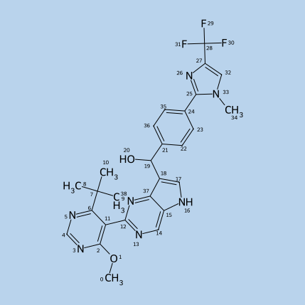 COc1ncnc(C(C)(C)C)c1-c1ncc2[nH]cc(C(O)c3ccc(-c4nc(C(F)(F)F)cn4C)cc3)c2n1